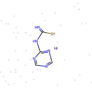 I.N=C(S)Nc1ncncn1